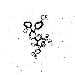 NS(=O)(=O)c1nn2c(-c3ccc(C(F)(F)F)cc3)c(-c3ccccc3Cl)cnc2c1C(=O)N[C@H]1CCS(=O)(=O)C1